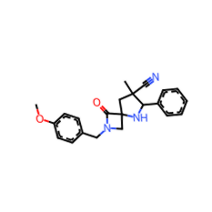 COc1ccc(CN2CC3(CC(C)(C#N)C(c4ccccc4)N3)C2=O)cc1